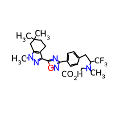 CN(CC(=O)O)C(Cc1ccc(-c2noc(-c3nn(C)c4c3CCC(C)(C)C4)n2)cc1)C(F)(F)F